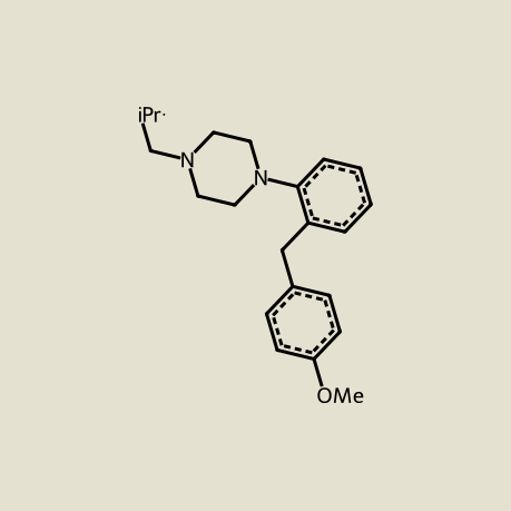 COc1ccc(Cc2ccccc2N2CCN(C[C](C)C)CC2)cc1